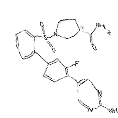 NC(=O)[C@H]1CCN(S(=O)(=O)c2ccccc2-c2ccc(-c3cnc(N)nc3)c(F)c2)C1